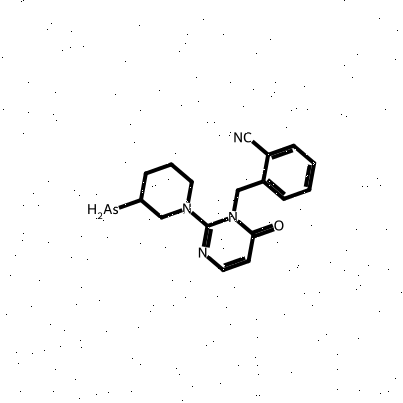 N#Cc1ccccc1Cn1c(N2CCCC([AsH2])C2)nccc1=O